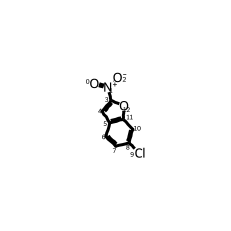 O=[N+]([O-])c1cc2ccc(Cl)cc2o1